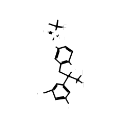 O=S(=O)(Oc1ccc2c(c1)CC(c1cc(Cl)cc(Cl)c1)(C(F)(F)F)S2)C(F)(F)F